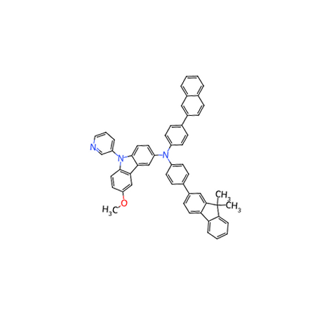 COc1ccc2c(c1)c1cc(N(c3ccc(-c4ccc5c(c4)C(C)(C)c4ccccc4-5)cc3)c3ccc(-c4ccc5ccccc5c4)cc3)ccc1n2-c1cccnc1